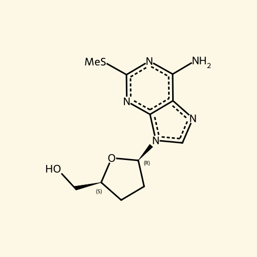 CSc1nc(N)c2ncn([C@H]3CC[C@@H](CO)O3)c2n1